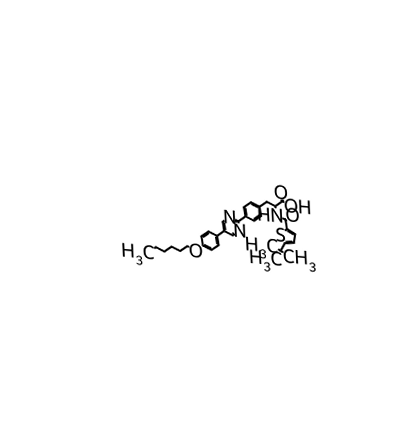 CCCCCCOc1ccc(-c2cnc(-c3ccc(CC(NC(=O)c4ccc(C(C)(C)C)s4)C(=O)O)cc3)nc2)cc1